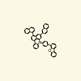 c1cc(-c2ccc3ccccc3c2)cc(N(c2ccc(-c3cccc4c3oc3ccccc34)cc2)c2ccccc2-c2ccc(-c3cccc4ccccc34)cc2)c1